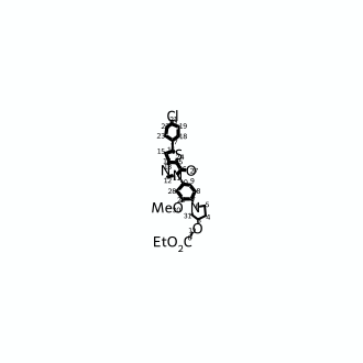 CCOC(=O)CO[C@@H]1CCN(c2ccc(-n3cnc4cc(-c5ccc(Cl)cc5)sc4c3=O)cc2OC)C1